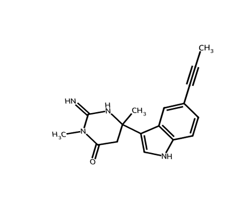 CC#Cc1ccc2[nH]cc(C3(C)CC(=O)N(C)C(=N)N3)c2c1